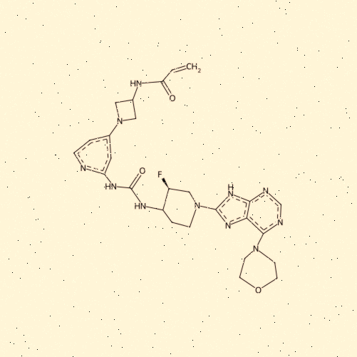 C=CC(=O)NC1CN(c2ccnc(NC(=O)NC3CCN(c4nc5c(N6CCOCC6)ncnc5[nH]4)C[C@@H]3F)c2)C1